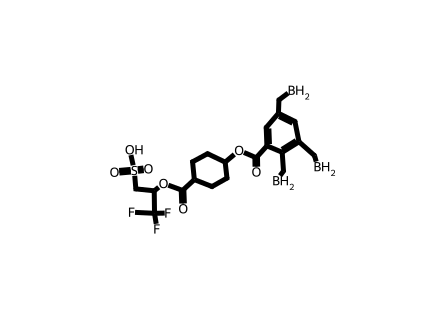 BCc1cc(CB)c(CB)c(C(=O)OC2CCC(C(=O)OC(CS(=O)(=O)O)C(F)(F)F)CC2)c1